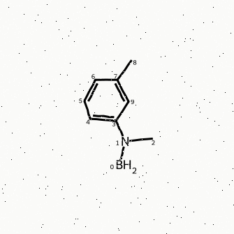 BN(C)c1cccc(C)c1